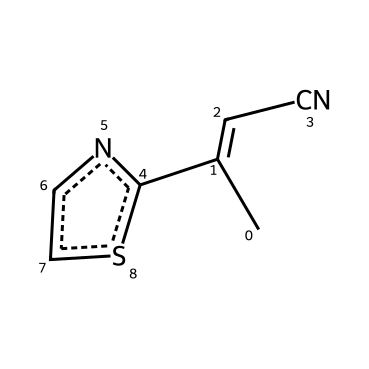 CC(=CC#N)c1nccs1